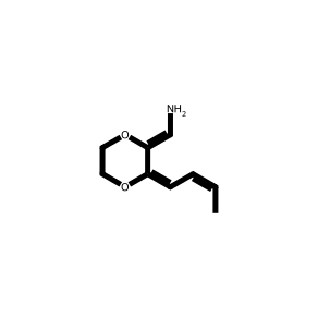 C\C=C/C=C1/OCCO/C1=C\N